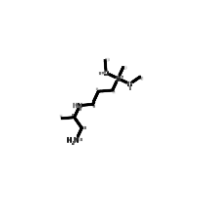 CO[Si](C)(CCCNC(C)CN)OC